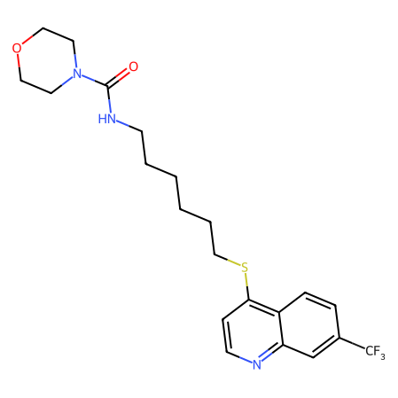 O=C(NCCCCCCSc1ccnc2cc(C(F)(F)F)ccc12)N1CCOCC1